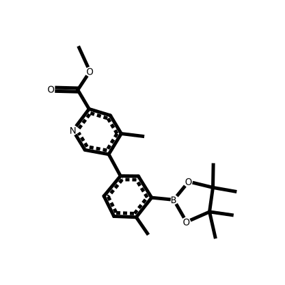 COC(=O)c1cc(C)c(-c2ccc(C)c(B3OC(C)(C)C(C)(C)O3)c2)cn1